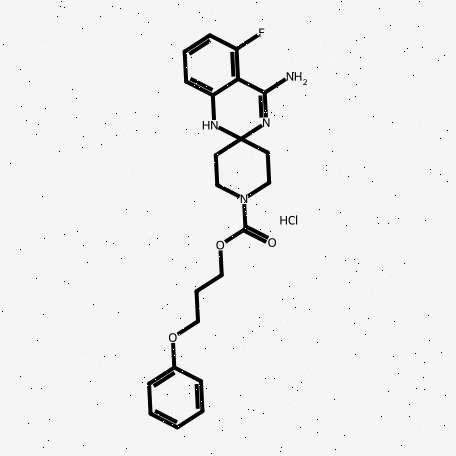 Cl.NC1=NC2(CCN(C(=O)OCCCOc3ccccc3)CC2)Nc2cccc(F)c21